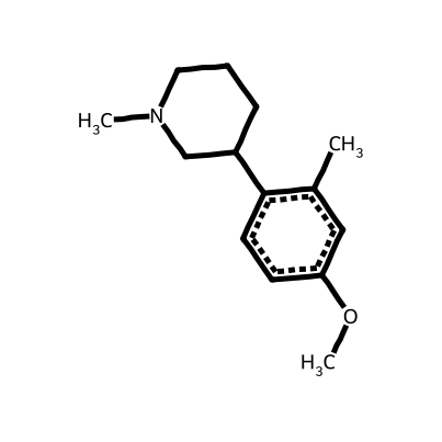 COc1ccc(C2CCCN(C)C2)c(C)c1